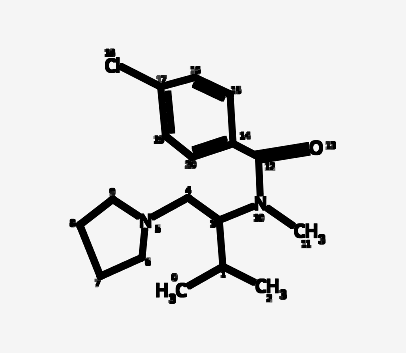 CC(C)C(CN1CCCC1)N(C)C(=O)c1ccc(Cl)cc1